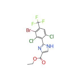 CCOC(=O)c1c[nH]c(-c2c(Cl)cc(C(F)(F)F)c(Br)c2Cl)n1